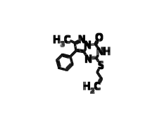 C=CCSc1nc2c(-c3ccccc3)c(C)nn2c(=O)[nH]1